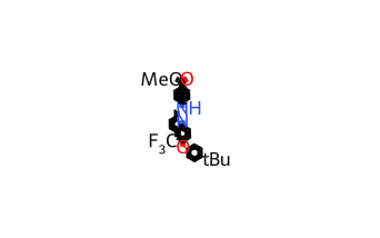 COC(=O)C12CCC(NCc3ccc4c(C(F)(F)F)c(O[C@H]5CC[C@H](C(C)(C)C)CC5)ccc4n3)(CC1)CC2